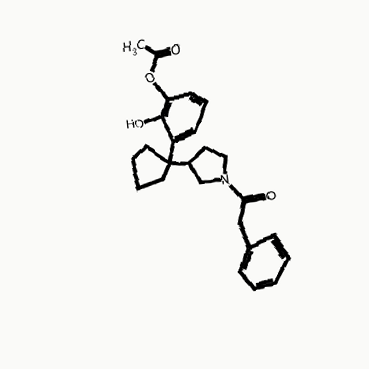 CC(=O)Oc1cccc(C2(C3CCN(C(=O)Cc4ccccc4)C3)CCCC2)c1O